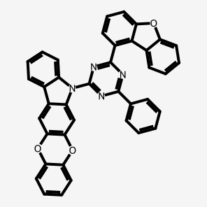 c1ccc(-c2nc(-c3cccc4oc5ccccc5c34)nc(-n3c4ccccc4c4cc5c(cc43)Oc3ccccc3O5)n2)cc1